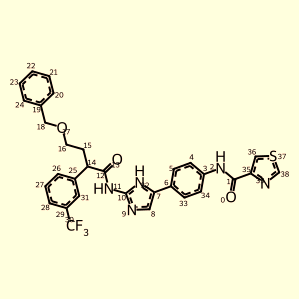 O=C(Nc1ccc(-c2cnc(NC(=O)C(CCOCc3ccccc3)c3cccc(C(F)(F)F)c3)[nH]2)cc1)c1cscn1